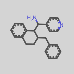 NC(c1ccncc1)C1c2ccccc2CCC1Cc1ccccc1